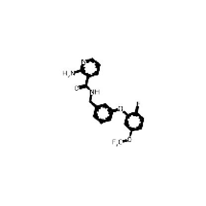 Nc1ncccc1C(=O)NCc1cccc(Oc2cc(OC(F)(F)F)ccc2F)c1